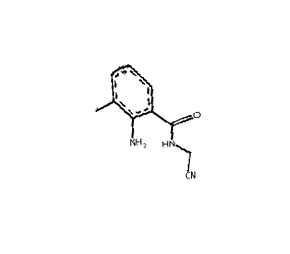 Cc1cccc(C(=O)NCC#N)c1N